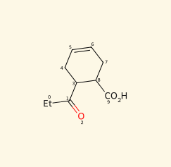 CCC(=O)C1CC=CCC1C(=O)O